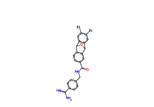 CCc1cc2c(cc1CC)C1OC2c2ccc(C(=O)NCc3ccc(C(=N)N)cc3)cc21